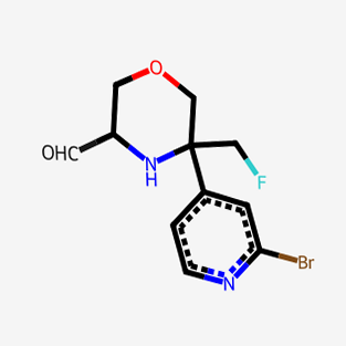 O=CC1COCC(CF)(c2ccnc(Br)c2)N1